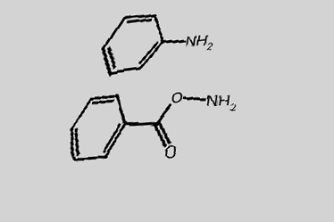 NOC(=O)c1ccccc1.Nc1ccccc1